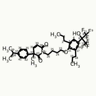 CCCc1cc(C(O)(C(F)(F)F)C(F)(F)F)cc(CCC)c1OCCCCN1C(=O)C=CC(C)(c2ccc(C(C)C)cc2)C1=O